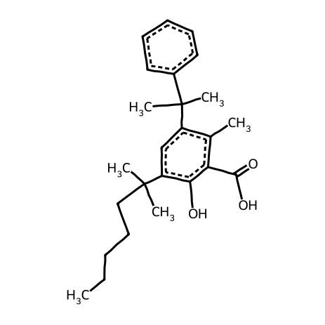 CCCCCC(C)(C)c1cc(C(C)(C)c2ccccc2)c(C)c(C(=O)O)c1O